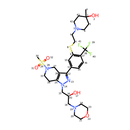 CC1(O)CCN(CCSc2cc(-c3nn(C[C@@H](O)CN4CCOCC4)c4c3CN(S(C)(=O)=O)CC4)ccc2C(F)(F)F)CC1